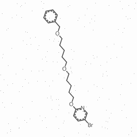 Brc1ccc(OCCCCCOCCCCCOCc2ccccc2)nc1